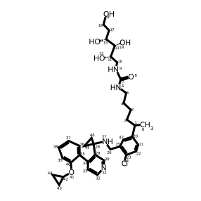 CC(CCCCNC(=O)NC[C@H](O)[C@@H](O)[C@H](O)CCO)c1ccc(Cl)c(CNC2(c3cnccc3-c3ccccc3OC3CC3)CC2)c1